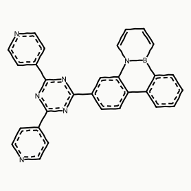 C1=CB2c3ccccc3-c3ccc(-c4nc(-c5ccncc5)nc(-c5ccncc5)n4)cc3N2C=C1